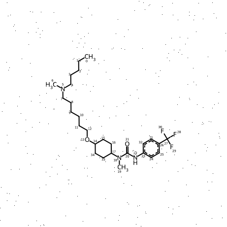 CCCCCN(C)CCCCCCOC1CCC(N(C)C(=O)Nc2ccc(C(F)(F)F)cc2)CC1